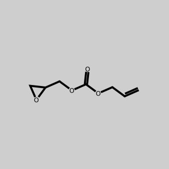 C=CCOC(=O)OCC1CO1